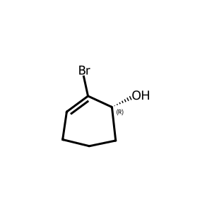 O[C@@H]1CCCC=C1Br